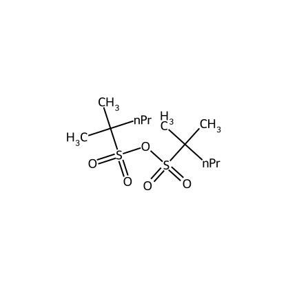 CCCC(C)(C)S(=O)(=O)OS(=O)(=O)C(C)(C)CCC